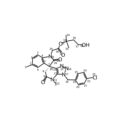 Cc1ccc2c(c1)[C@@]1(CC(=O)N(I)c3c1nnn3Cc1ccc(Cl)cc1)C(=O)N2CC(=O)OC(C)(C)CCO